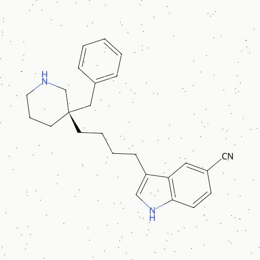 N#Cc1ccc2[nH]cc(CCCC[C@@]3(Cc4ccccc4)CCCNC3)c2c1